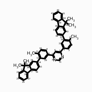 Cc1ccc(-c2cc(-c3ccc(C)c(-c4ccc5c(c4)C(C)(C)c4ccccc4-5)c3)ncn2)cc1-c1ccc2c(c1)C(C)(C)c1ccccc1-2